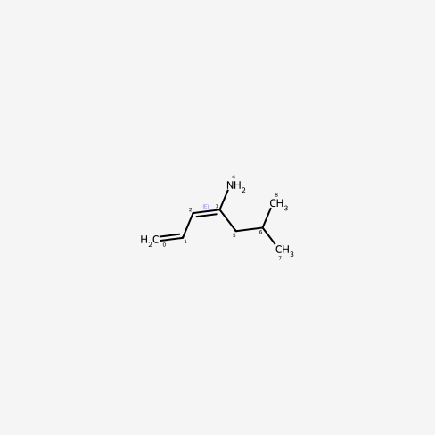 C=C/C=C(/N)CC(C)C